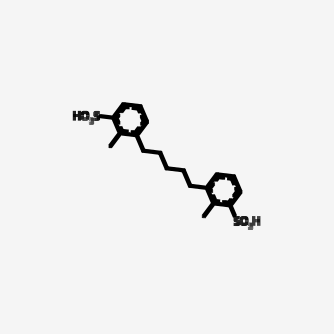 Cc1c(CCCCCc2cccc(S(=O)(=O)O)c2C)cccc1S(=O)(=O)O